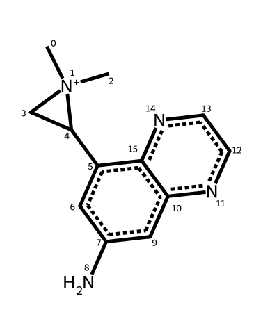 C[N+]1(C)CC1c1cc(N)cc2nccnc12